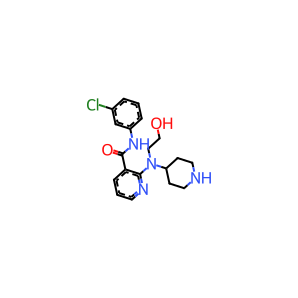 O=C(Nc1cccc(Cl)c1)c1cccnc1N(CCO)C1CCNCC1